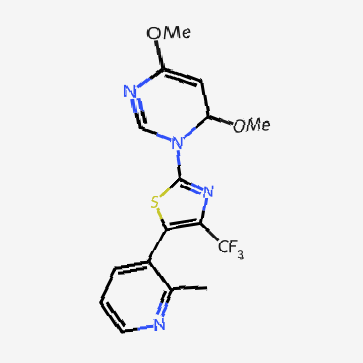 COC1=CC(OC)N(c2nc(C(F)(F)F)c(-c3cccnc3C)s2)C=N1